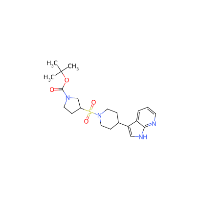 CC(C)(C)OC(=O)N1CCC(S(=O)(=O)N2CCC(c3c[nH]c4ncccc34)CC2)C1